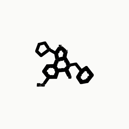 COc1ccc2c(c1)c(=O)n(Cc1ccccc1)c1nnc(N3CCCC3)n21